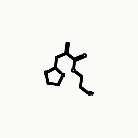 C=C(CC1OCCO1)C(=O)OCCC(C)C